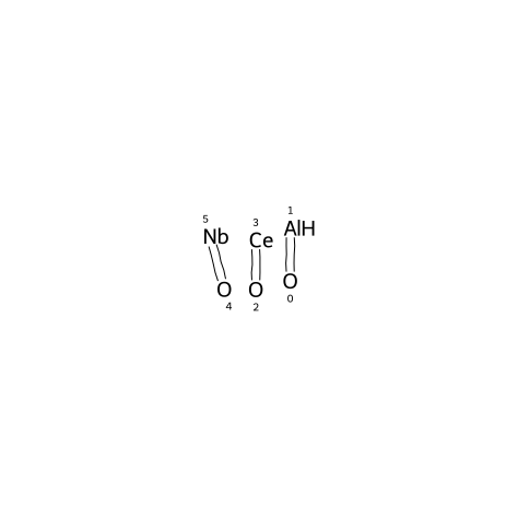 [O]=[AlH].[O]=[Ce].[O]=[Nb]